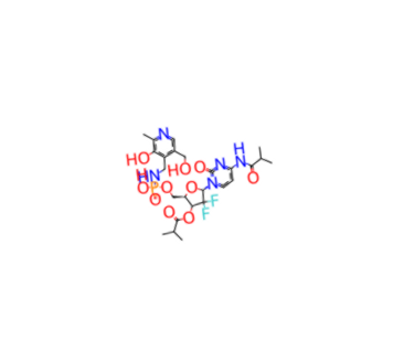 Cc1ncc(CO)c(CNP(=O)(O)OC[C@H]2O[C@@H](n3ccc(NC(=O)C(C)C)nc3=O)C(F)(F)C2OC(=O)C(C)C)c1O